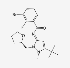 Cn1c(C(C)(C)C)cc(=NC(=O)c2cccc(Br)c2F)n1C[C@H]1CCCO1